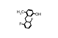 Cc1ccc(O)cc1CC1C(F)=CC=CC1F